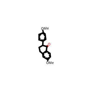 COc1ccc(C2CCc3cc(OC)ccc3C2=O)cc1